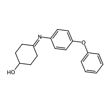 OC1CCC(=Nc2ccc(Oc3ccccc3)cc2)CC1